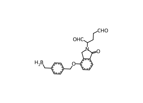 BCc1ccc(COc2cccc3c2CN(C(C=O)CCC=O)C3=O)cc1